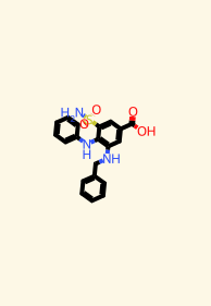 NS(=O)(=O)c1cc(C(=O)O)cc(NCc2ccccc2)c1Nc1ccccc1